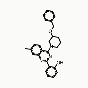 Cc1ccc2c(N3CCCC(OCc4ccccc4)C3)nc(-c3ccccc3O)nc2c1